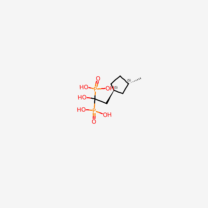 C[C@H]1CC[C@H](CC(O)(P(=O)(O)O)P(=O)(O)O)C1